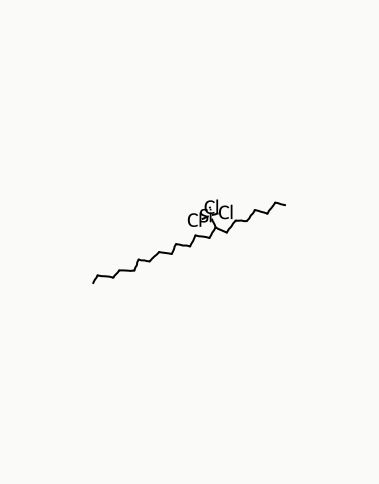 CCCCCCCCCCCCCC(CCCCCCC)[Si](Cl)(Cl)Cl